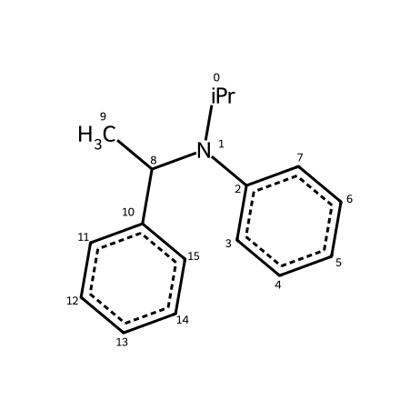 CC(C)N(c1ccccc1)C(C)c1ccccc1